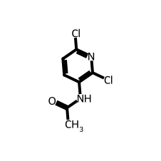 CC(=O)Nc1ccc(Cl)nc1Cl